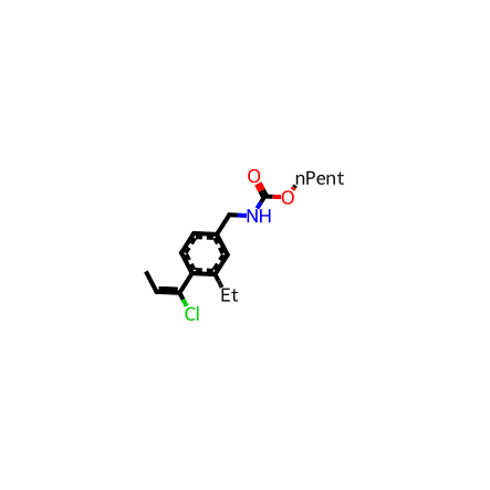 C/C=C(/Cl)c1ccc(CNC(=O)OCCCCC)cc1CC